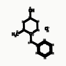 CC1CC(O)CC[O+]1Sc1ccccc1.[Cl-]